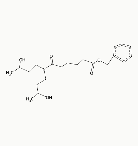 CC(O)CCN(CCC(C)O)C(=O)CCCCC(=O)OCc1ccccc1